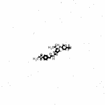 CCS(=O)(=O)c1ccc(CC(=O)Nc2nc3c(s2)CN(C[C@@H]2CCC(C(F)(F)F)OC2)[C@H]3C(C)C)cc1